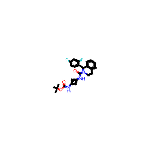 CC(C)(C)OC(=O)NC12CC(NC(=O)N3CCc4ccccc4C3c3ccc(F)cc3F)(C1)C2